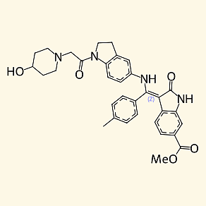 COC(=O)c1ccc2c(c1)NC(=O)/C2=C(\Nc1ccc2c(c1)CCN2C(=O)CN1CCC(O)CC1)c1ccc(C)cc1